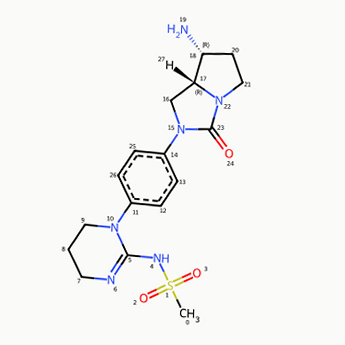 CS(=O)(=O)NC1=NCCCN1c1ccc(N2C[C@@H]3[C@H](N)CCN3C2=O)cc1